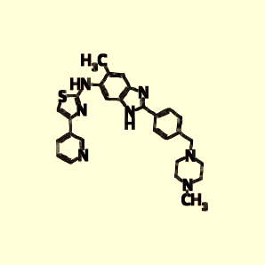 Cc1cc2nc(-c3ccc(CN4CCN(C)CC4)cc3)[nH]c2cc1Nc1nc(-c2cccnc2)cs1